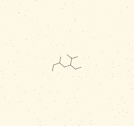 CCC(C)CC(CC)[C](C)C